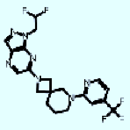 FC(F)Cn1ncc2ncc(N3CC4(CCCN(c5cc(C(F)(F)F)ccn5)C4)C3)nc21